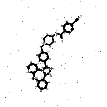 N#Cc1ccc(C(=O)NC2CCN(Cc3ccc(-c4nnc5n4-c4cccnc4Nc4ccccc4-5)cc3)CC2)cc1